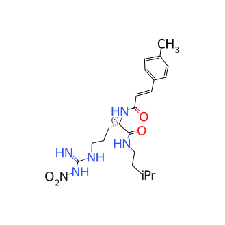 Cc1ccc(C=CC(=O)N[C@@H](CCCNC(=N)N[N+](=O)[O-])C(=O)NCCC(C)C)cc1